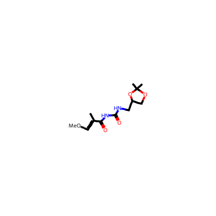 CO/C=C(\C)C(=O)NC(=O)NCC1COC(C)(C)O1